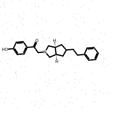 O=C(CN1C[C@H]2CC(CCc3ccccc3)C[C@H]2C1)c1ccc(O)cc1